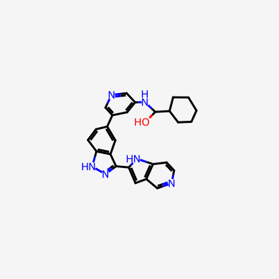 OC(Nc1cncc(-c2ccc3[nH]nc(-c4cc5cnccc5[nH]4)c3c2)c1)C1CCCCC1